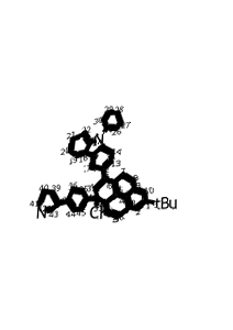 CC(C)(C)c1cc2c3c4c(ccc3c1)C(c1ccc3c(c1)c1ccccc1n3-c1ccccc1)=CC(C)(c1ccc(-c3cccnc3)cc1)C4C=C2